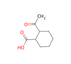 [CH2]C(=O)C1CCCCC1C(=O)O